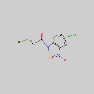 O=C(CCBr)Nc1ccc(Cl)cc1[N+](=O)[O-]